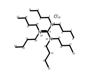 CCCCN(CCCC)C(N(CCCC)CCCC)=[N+](CCCC)CCCC.[Cl-]